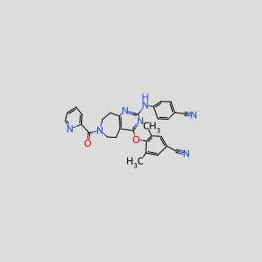 Cc1cc(C#N)cc(C)c1Oc1nc(Nc2ccc(C#N)cc2)nc2c1CCN(C(=O)c1ccccn1)CC2